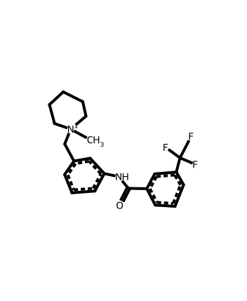 C[N+]1(Cc2cccc(NC(=O)c3cccc(C(F)(F)F)c3)c2)CCCCC1